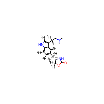 [2H]c1[nH]c2c([2H])c([2H])c(C([2H])([2H])[C@@H]3NC(=O)OC3([2H])[2H])c([2H])c2c1C([2H])([2H])CN(C)C